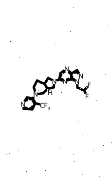 FC(F)Cn1ncc2ncc(N3CC4CCN(c5cnccc5C(F)(F)F)C[C@@H]4C3)nc21